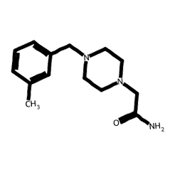 Cc1cccc(CN2CCN(CC(N)=O)CC2)c1